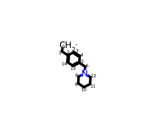 [CH2]Cc1ccc(CN2CCCCC2)cc1